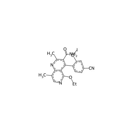 CCOc1ncc(C)c2nc(C)c(C(N)=O)c(-c3ccc(C#N)cc3OI)c12